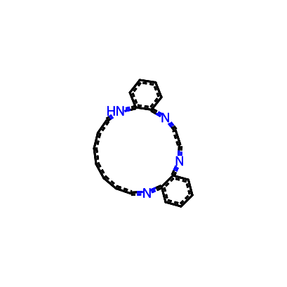 c1cccnc2ccccc2nccnc2ccccc2[nH]ccc1